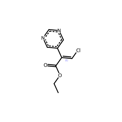 CCOC(=O)/C(=C/Cl)c1cncnc1